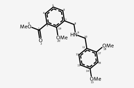 COC(=O)c1cccc(CNCc2ccc(OC)cc2OC)c1OC